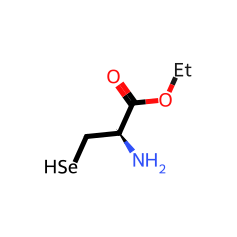 CCOC(=O)[C@@H](N)C[SeH]